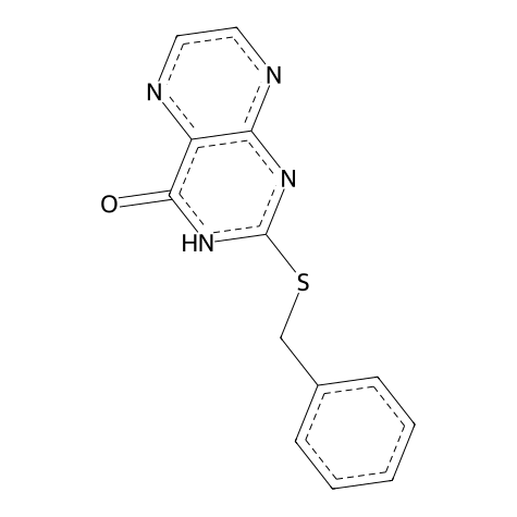 O=c1[nH]c(SCc2ccccc2)nc2nccnc12